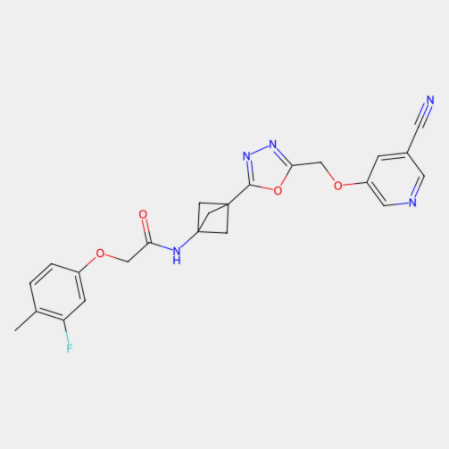 Cc1ccc(OCC(=O)NC23CC(c4nnc(COc5cncc(C#N)c5)o4)(C2)C3)cc1F